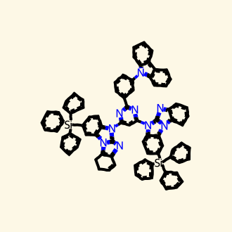 C1=Cc2nc3n(-c4cc(-n5c6ccc([Si](c7ccccc7)(c7ccccc7)c7ccccc7)cc6n6c7ccccc7nc56)nc(-c5cccc(-n6c7ccccc7c7ccccc76)c5)n4)c4ccc([Si](c5ccccc5)(c5ccccc5)c5ccccc5)cc4n3c2CC1